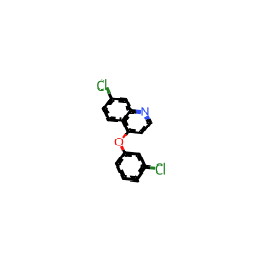 Clc1cccc(Oc2ccnc3cc(Cl)ccc23)c1